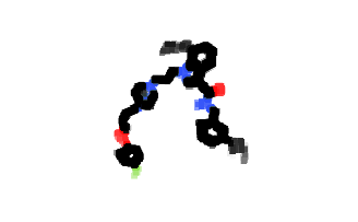 COc1cccc2c(C(=O)NCc3cccc(C)c3)cn(CCCN3CC4CCC3CN4CCOc3ccc(F)cc3)c12